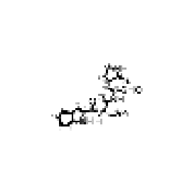 CC(C)C[C@@H](NC(=O)c1cc2ccccc2[nH]1)C(=O)N[C@H](C=O)C[C@@H]1CCNC1=O